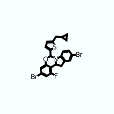 Fc1cc(Br)cc2c1C1Cc3cc(Br)ccc3N1C(c1ccc(CC3CC3)s1)O2